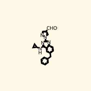 O=[C]c1cnn(-c2nc(NC3CC3)c3cc(Cc4ccccc4)ccc3n2)c1